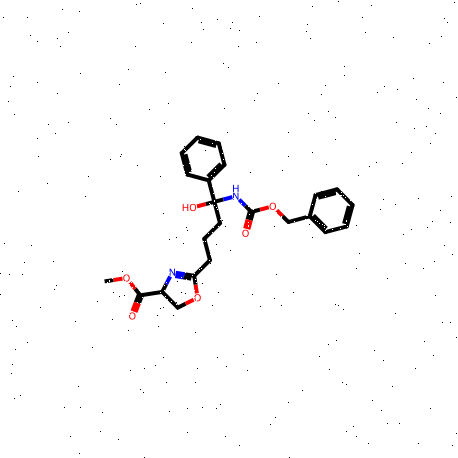 COC(=O)C1COC(CCCC(O)(NC(=O)OCc2ccccc2)c2ccccc2)=N1